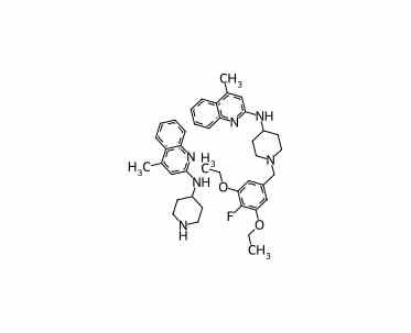 CCOc1cc(CN2CCC(Nc3cc(C)c4ccccc4n3)CC2)cc(OCC)c1F.Cc1cc(NC2CCNCC2)nc2ccccc12